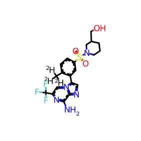 [2H]C([2H])([2H])c1ccc(S(=O)(=O)N2CCCC(CO)C2)cc1-c1cnc2c(N)nc(C(F)(F)F)cn12